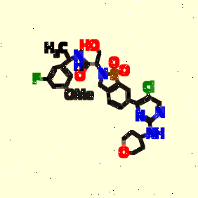 COc1cc(F)cc(C(C)NC(=O)C(CO)N2Cc3ccc(-c4nc(NC5CCOCC5)ncc4Cl)cc3S2(=O)=O)c1